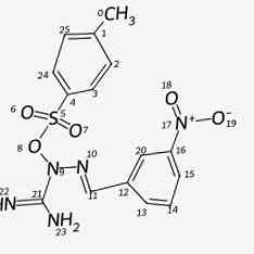 Cc1ccc(S(=O)(=O)ON(N=Cc2cccc([N+](=O)[O-])c2)C(=N)N)cc1